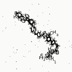 Cc1nn(CC(=O)N2CCC(CN3CCN(c4cc5c(cc4F)C(=O)N(C4CCC(=O)NC4=O)C5=O)CC3)CC2)c2ccc(-c3ccc([C@H]4C[C@@H]4C(=O)NCc4nc(C(C)(C)C(F)(F)F)n[nH]4)cc3)cc12